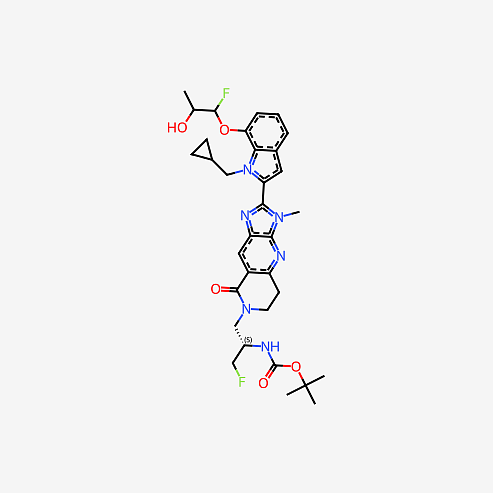 CC(O)C(F)Oc1cccc2cc(-c3nc4cc5c(nc4n3C)CCN(C[C@@H](CF)NC(=O)OC(C)(C)C)C5=O)n(CC3CC3)c12